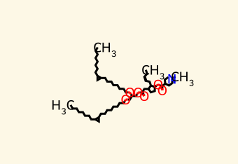 CC/C=C\CC1C(CC(=O)OCC(COCCCCCCCCC2CC2CCCCCCCC)OCCCCCCCCC2CC2CCCCCCCC)CCC1OC(=O)C1CCN(C)CC1